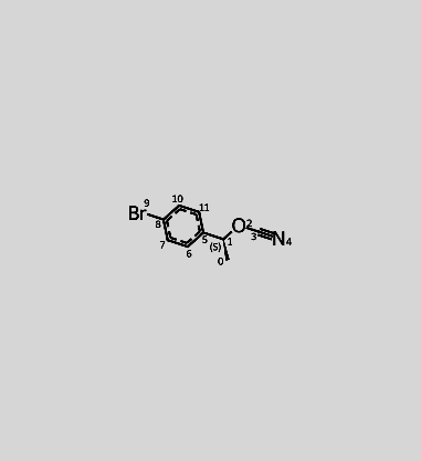 C[C@H](OC#N)c1ccc(Br)cc1